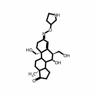 C[C@]12CCC3C(C1CCC2=O)[C@H](O)[C@H](CO)C1=CC(=NOC2CCNC2)CC[C@@]13CO